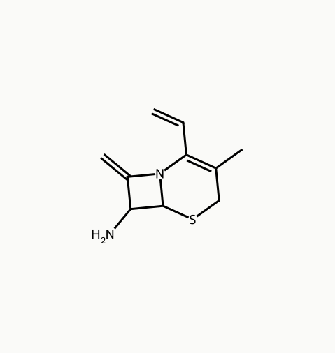 C=CC1=C(C)CSC2C(N)C(=C)N12